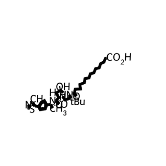 Cc1ncsc1-c1ccc(C(C)NC(=O)C2C[C@@H](O)CN2C(=O)[C@@H](NC(=O)CCCCCCCCCCCCCC(=O)O)C(C)(C)C)cc1